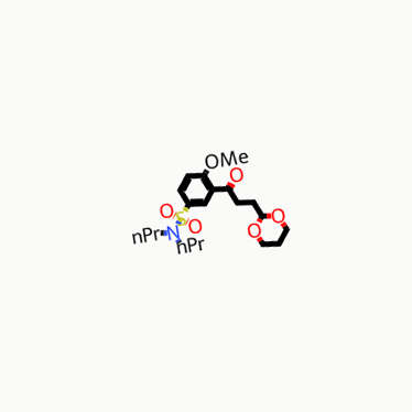 CCCN(CCC)S(=O)(=O)c1ccc(OC)c(C(=O)CCC2OCCCO2)c1